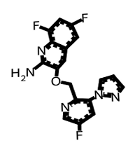 Nc1nc2c(F)cc(F)cc2cc1OCc1ncc(F)cc1-n1cccn1